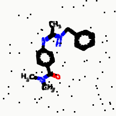 CC(=Nc1ccc(C(=O)N(C)C)cc1)NCc1ccccc1